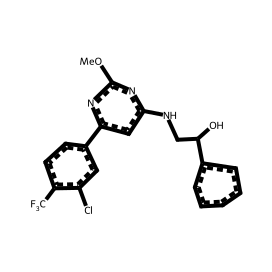 COc1nc(NCC(O)c2ccccc2)cc(-c2ccc(C(F)(F)F)c(Cl)c2)n1